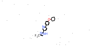 FC(F)(F)c1c[nH]c(-c2ccc(-c3ccc(OC4CCCCC4)cc3)nc2)n1